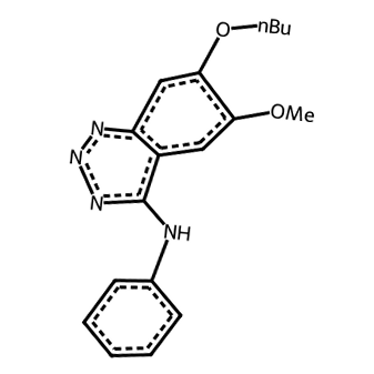 CCCCOc1cc2nnnc(Nc3ccccc3)c2cc1OC